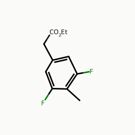 CCOC(=O)Cc1cc(F)c(C)c(F)c1